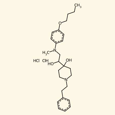 CCCCOc1ccc(N(C)CC(O)C2(O)CCN(CCc3ccccc3)CC2)cc1.Cl.Cl